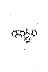 C1=CCCC(C(Nc2ccc3c(c2)Cc2ccccc2-3)C2=COC=CO2)=C1